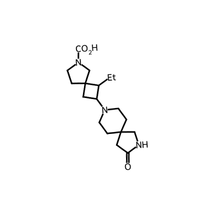 CCC1C(N2CCC3(CC2)CNC(=O)C3)CC12CCN(C(=O)O)C2